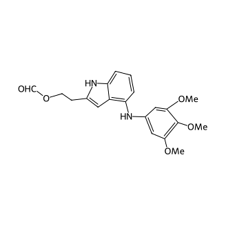 COc1cc(Nc2cccc3[nH]c(CCOC=O)cc23)cc(OC)c1OC